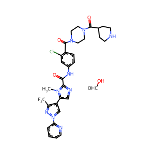 Cn1c(-c2cn(-c3ccccn3)nc2C(F)(F)F)cnc1C(=O)Nc1ccc(C(=O)N2CCN(C(=O)C3CCNCC3)CC2)c(Cl)c1.O=CO